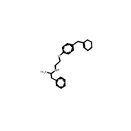 CC(Cc1ccccc1)NCCOc1ccc(CC2=CCCCC2)cc1